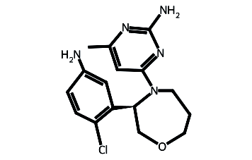 Cc1cc(N2CCCOC[C@H]2c2cc(N)ccc2Cl)nc(N)n1